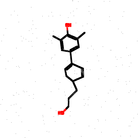 Cc1cc(C2=CCC(CCCO)C=C2)cc(C)c1O